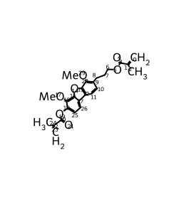 C=C(C)C(=O)OCCCc1ccc2c(oc3c(OC)c(OC(=O)C(=C)C)ccc32)c1OC